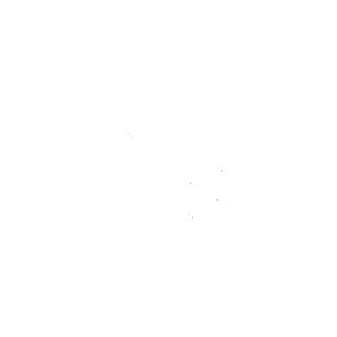 C[C@H](NS(=O)(=O)c1ccc2c(Cl)cnc(NC(=N)N)c2c1)C(=O)OC(C)(C)C